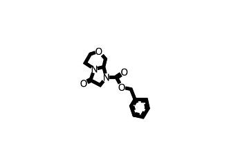 O=C1CN(C(=O)OCc2ccccc2)C2COCCN12